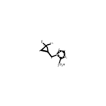 O=C(O)c1ncnn1CC1CC1(F)F